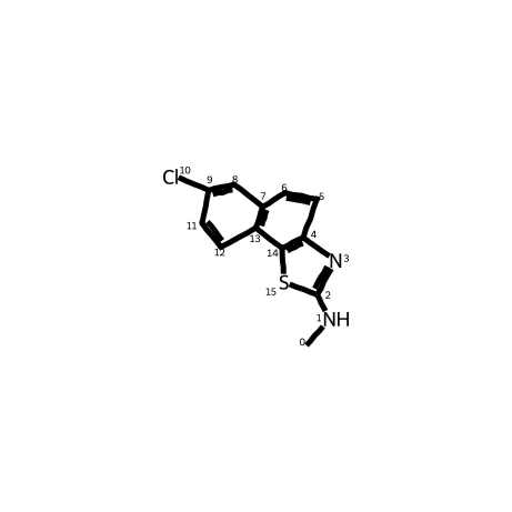 CNc1nc2ccc3cc(Cl)ccc3c2s1